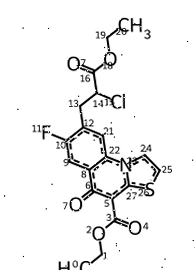 CCOC(=O)c1c(=O)c2cc(F)c(CC(Cl)C(=O)OCC)cc2n2ccsc12